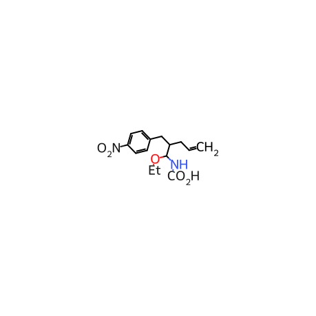 C=CCC(Cc1ccc([N+](=O)[O-])cc1)C(NC(=O)O)OCC